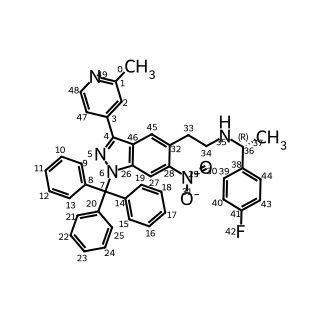 Cc1cc(-c2nn(C(c3ccccc3)(c3ccccc3)c3ccccc3)c3cc([N+](=O)[O-])c(CCN[C@H](C)c4ccc(F)cc4)cc23)ccn1